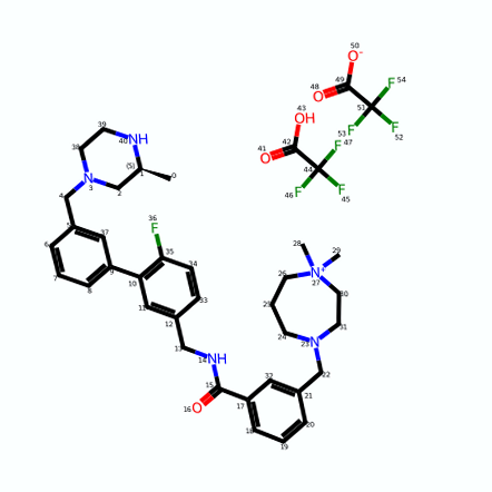 C[C@H]1CN(Cc2cccc(-c3cc(CNC(=O)c4cccc(CN5CCC[N+](C)(C)CC5)c4)ccc3F)c2)CCN1.O=C(O)C(F)(F)F.O=C([O-])C(F)(F)F